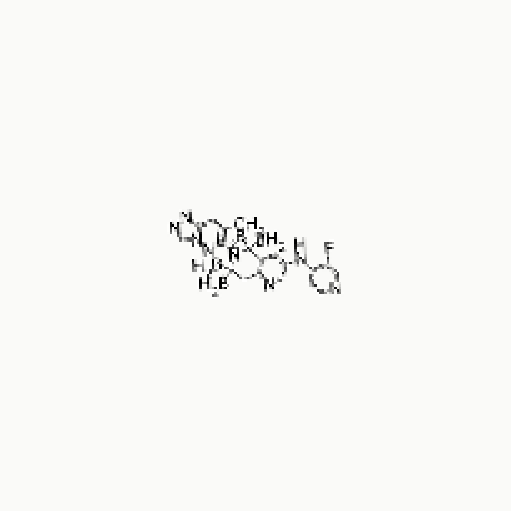 BC1(B)Cc2ncc(Nc3ccncc3F)cc2C(B)(B)N1c1nn2cnnc2cc1C